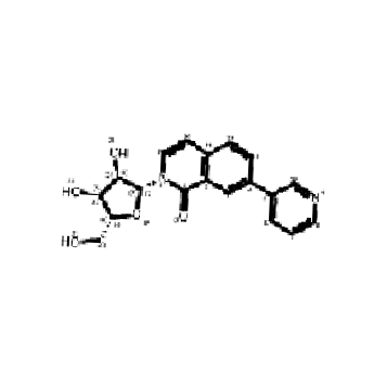 O=c1c2cc(-c3cccnc3)ccc2ccn1[C@@H]1O[C@H](CO)[C@@H](O)[C@H]1O